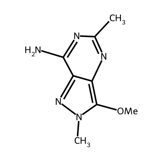 COc1c2nc(C)nc(N)c2nn1C